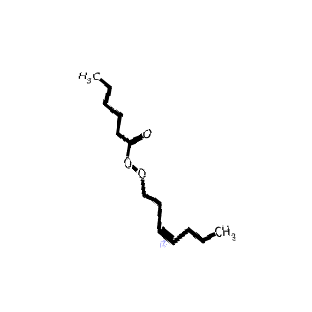 CCC/C=C\CCOOC(=O)CCCCC